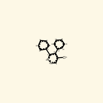 Clc1cnnc(-c2ccccc2)c1-c1ccccc1